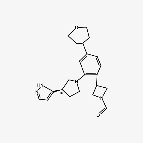 O=CN1CC(c2ccc(C3CCOCC3)cc2N2CC[C@@H](c3ccn[nH]3)C2)C1